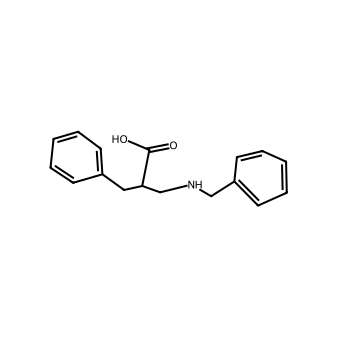 O=C(O)C(CNCc1ccccc1)Cc1ccccc1